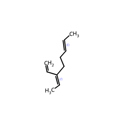 C=C/C(=C\C)CC/C=C/C